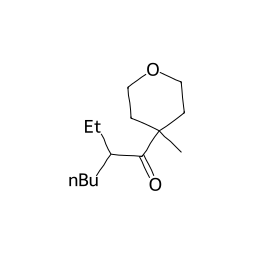 CCCCC(CC)C(=O)C1(C)CCOCC1